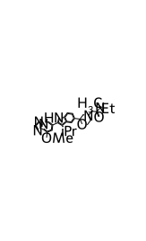 CCN(C)C(=O)CN1CCOC(c2ccc3[nH]c(-c4cc(OC)c5ncnn5c4)c(C(C)C)c3c2)C1